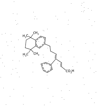 CC1(C)CCC(C)(C)c2cc(CCC=C(C=CC(=O)O)c3ccccc3)ccc21